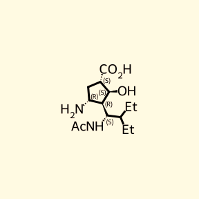 CCC(CC)[C@H](NC(C)=O)[C@@H]1[C@H](O)[C@@H](C(=O)O)C[C@H]1N